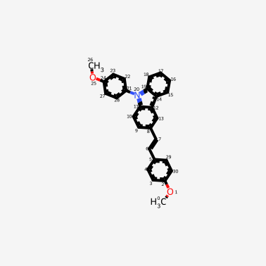 COc1ccc(C=Cc2ccc3c(c2)c2ccccc2n3-c2ccc(OC)cc2)cc1